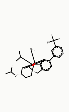 CC(C)N1C(=O)C2(N=C1N)c1cc(-c3cncc(C(F)(F)F)c3)ccc1C[C@]21CC[C@@H](OC(F)F)CC1